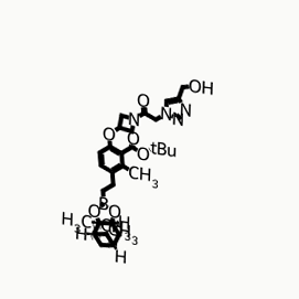 Cc1c(CCB2O[C@@H]3C[C@@H]4C[C@@H](C4(C)C)[C@]3(C)O2)ccc(OC2CN(C(=O)Cn3cc(CO)nn3)C2)c1C(=O)OC(C)(C)C